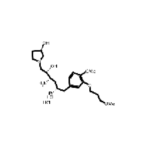 COCCCOc1cc(C[C@@H](C[C@H](N)[C@@H](O)CN2CC[C@@H](O)C2)C(C)C)ccc1OC.Cl.Cl